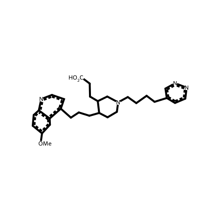 COc1ccc2nccc(CCCC3CCN(CCCCc4ccnnc4)CC3CCC(=O)O)c2c1